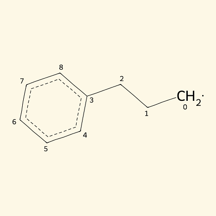 [CH2]CCc1ccccc1